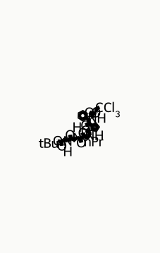 CCCC(NC(=O)[C@@H]1CCCN1C(=O)[C@@H](NC(=O)OCC(Cl)(Cl)Cl)C1CCCCC1)C(=O)C(=O)NCC(=O)NCC(=O)OC(C)(C)C